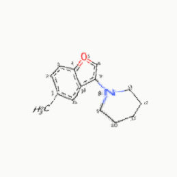 Cc1ccc2occ(N3CCCCC3)c2c1